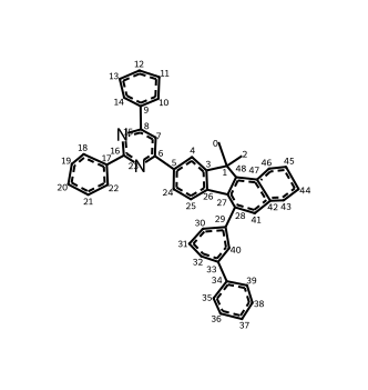 CC1(C)c2cc(-c3cc(-c4ccccc4)nc(-c4ccccc4)n3)ccc2-c2c(-c3cccc(-c4ccccc4)c3)cc3ccccc3c21